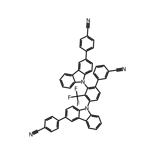 N#Cc1ccc(-c2ccc3c(c2)c2ccccc2n3-c2ccc(-c3cccc(C#N)c3)c(-n3c4ccccc4c4cc(-c5ccc(C#N)cc5)ccc43)c2C(F)(F)F)cc1